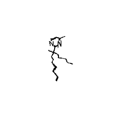 CCCCCCCC(C)(CCCCC)c1nccc(C)n1